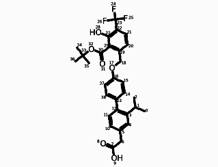 CC(C)c1cc(CC(=O)O)ccc1-c1ccc(OCc2ccc(C(F)(F)F)c(O)c2C(=O)OC(C)(C)C)cc1